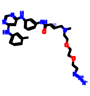 Cc1cccc(Nc2cc(Nc3cccc(NC(=O)/C=C/CN(C)CCOCCOCCN=[N+]=[N-])c3)ncn2)c1